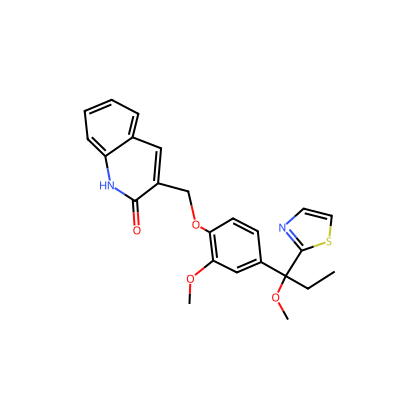 CCC(OC)(c1ccc(OCc2cc3ccccc3[nH]c2=O)c(OC)c1)c1nccs1